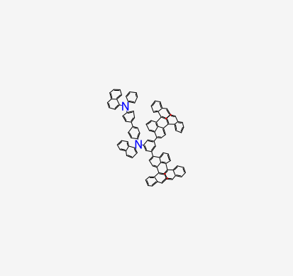 c1ccc(N(c2ccc(-c3ccc(N(c4cc(-c5ccc(-c6cccc7ccccc67)c6c(-c7cccc8ccccc78)cccc56)cc(-c5ccc(-c6cccc7ccccc67)c6c(-c7cccc8ccccc78)cccc56)c4)c4cccc5ccccc45)cc3)cc2)c2cccc3ccccc23)cc1